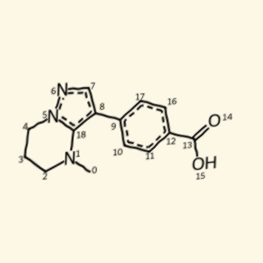 CN1CCCn2ncc(-c3ccc(C(=O)O)cc3)c21